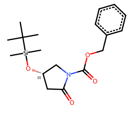 CC(C)(C)[Si](C)(C)O[C@H]1CC(=O)N(C(=O)OCc2ccccc2)C1